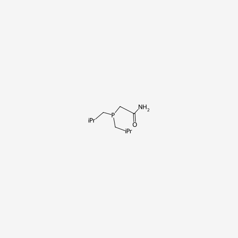 CC(C)CP(CC(N)=O)CC(C)C